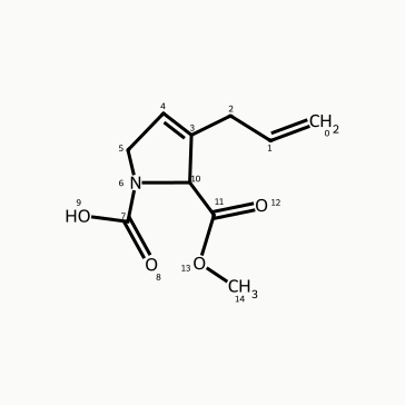 C=CCC1=CCN(C(=O)O)C1C(=O)OC